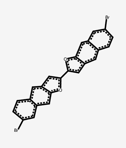 Brc1ccc2cc3cc(-c4cc5cc6ccc(Br)cc6cc5o4)oc3cc2c1